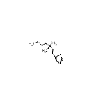 CCCCC(C)(C)CCc1cncs1